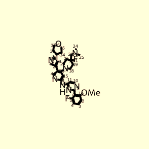 COc1cccc(F)c1-c1nccc(Nc2cc(N3CCC(F)(CN(C)C)CC3)c(-c3cnn(C4CCOCC4)c3)cn2)n1